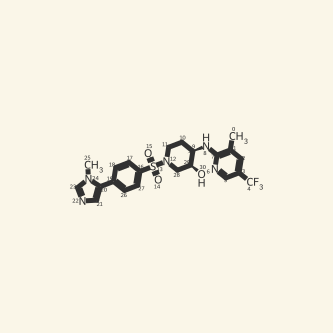 Cc1cc(C(F)(F)F)cnc1N[C@@H]1CCN(S(=O)(=O)c2ccc(-c3cncn3C)cc2)C[C@@H]1O